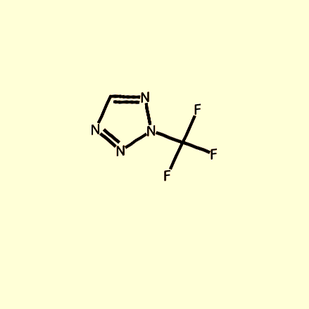 FC(F)(F)n1ncnn1